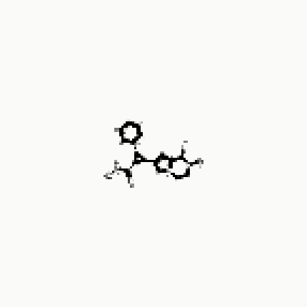 CCN1CCn2cc([C@H]3[C@H](C(=O)NO)[C@@H]3c3ccccc3)cc2C1F